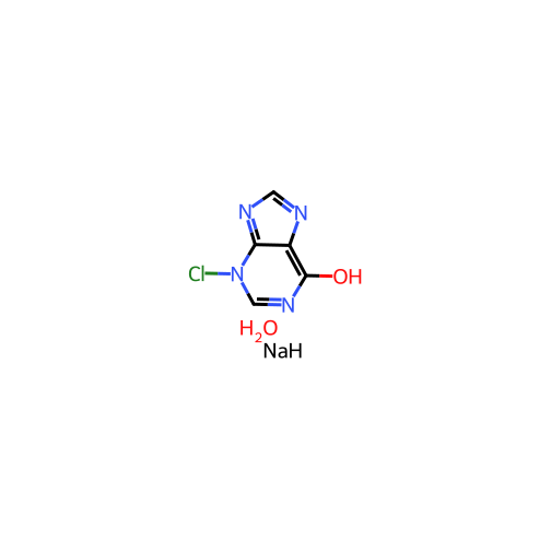 O.Oc1ncn(Cl)c2ncnc1-2.[NaH]